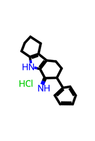 Cl.N=C1c2[nH]c3c(c2CCC1c1ccccc1)CCCC3